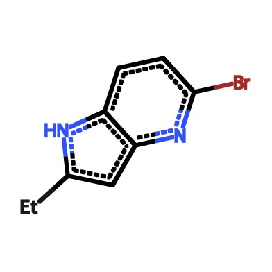 CCc1cc2nc(Br)ccc2[nH]1